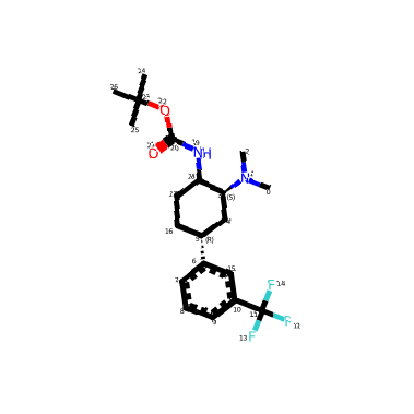 CN(C)[C@H]1C[C@H](c2cccc(C(F)(F)F)c2)CCC1NC(=O)OC(C)(C)C